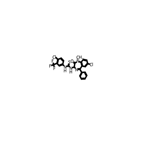 CN1C(=O)C(NC(=S)Nc2ccc(Cl)c(C(F)(F)F)c2)N=C(c2ccccc2)c2cc(Cl)ccc21